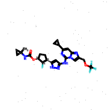 CC1(NC(=O)O[C@@H]2CC[C@H](c3cc(Nc4nc(C5CC5)cc5nc(COC(F)(F)F)cn45)n[nH]3)[C@H]2F)CC1